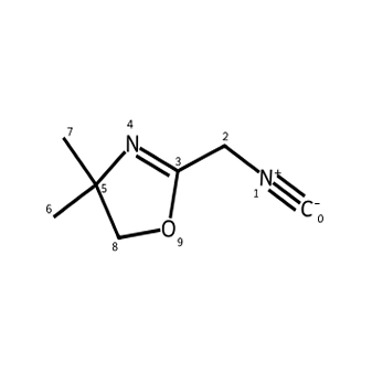 [C-]#[N+]CC1=NC(C)(C)CO1